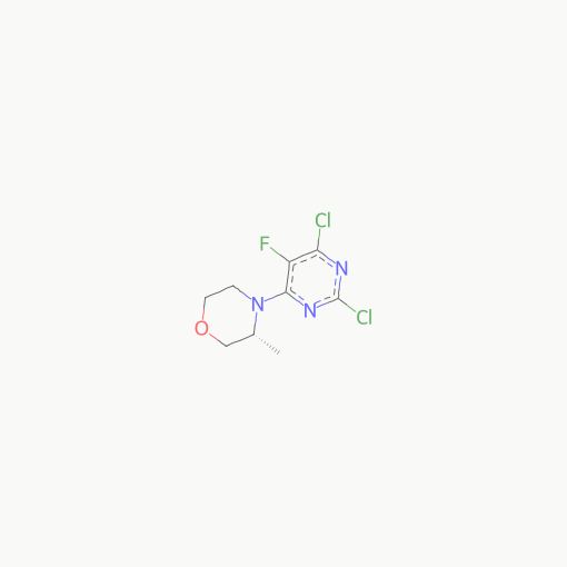 C[C@@H]1COCCN1c1nc(Cl)nc(Cl)c1F